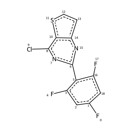 Fc1cc(F)c(-c2nc(Cl)c3sccc3n2)c(F)c1